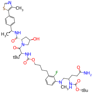 Cc1ncsc1-c1ccc([C@H](C)NC(=O)[C@@H]2C[C@@H](O)CN2C(=O)[C@@H](NC(=O)OCCCCc2cccc(N(C)CC(CCC(N)=O)NC(=O)OC(C)(C)C)c2F)C(C)(C)C)cc1